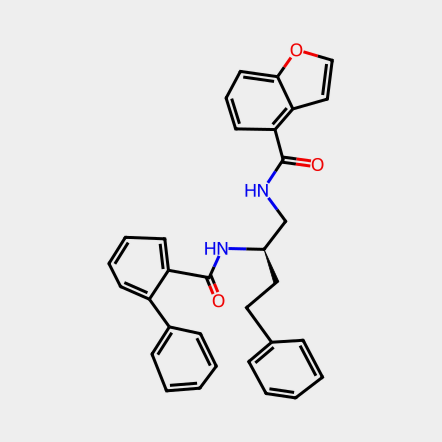 O=C(N[C@H](CCc1ccccc1)CNC(=O)c1cccc2occc12)c1ccccc1-c1ccccc1